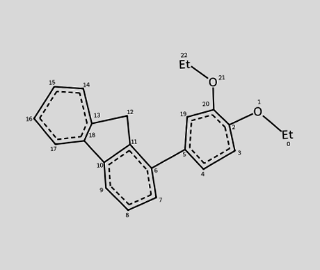 CCOc1ccc(-c2cccc3c2Cc2ccccc2-3)cc1OCC